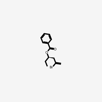 C=C(Br)C[C@@H](CC)OC(=O)c1ccccc1